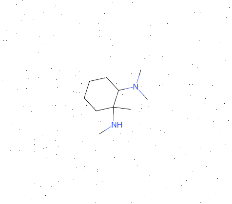 CNC1(C)CCCCC1N(C)C